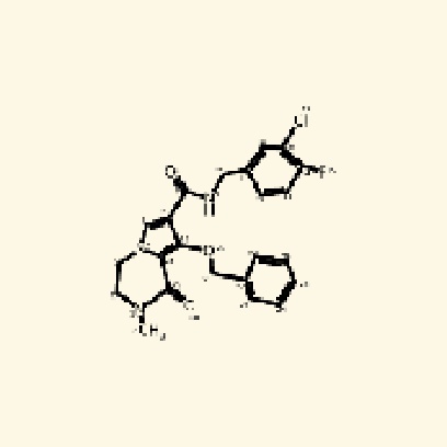 CN1CCn2cc(C(=O)NCc3ccc(F)c(Cl)c3)c(OCc3ccccc3)c2C1=O